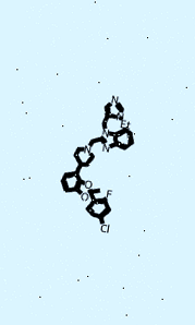 CCn1cncc1Cn1c(CN2CCC(c3cccc4c3OC(C)(c3ccc(Cl)cc3F)O4)CC2)nc2ccccc21